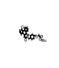 Cc1cc(-c2cc(=O)n(CC3CCC(COCC(=O)OC(C)(C)C)CC3)nc2-c2ccccc2)ccn1